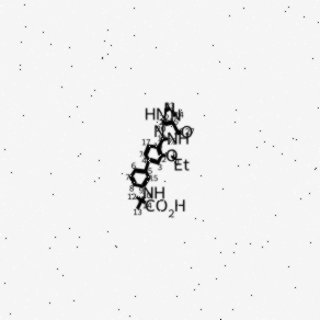 CCOc1cc(-c2cccc(NC(C)(C)C(=O)O)c2)ccc1-c1nc2[nH]nnc2c(=O)[nH]1